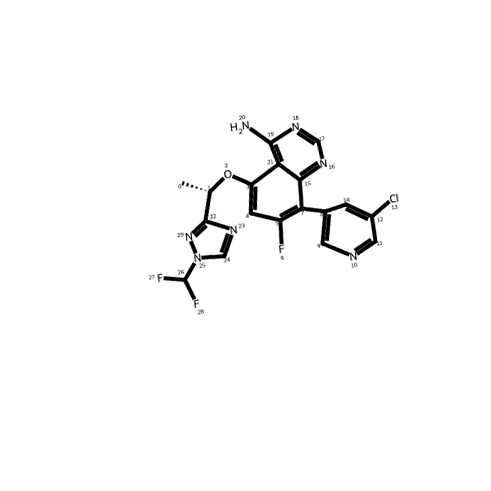 C[C@H](Oc1cc(F)c(-c2cncc(Cl)c2)c2ncnc(N)c12)c1ncn(C(F)F)n1